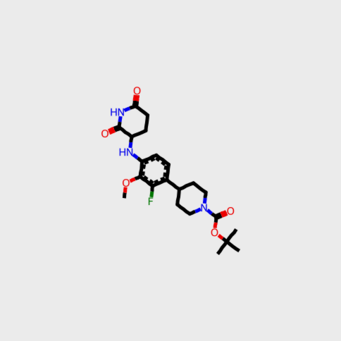 COc1c(NC2CCC(=O)NC2=O)ccc(C2CCN(C(=O)OC(C)(C)C)CC2)c1F